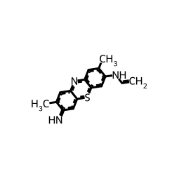 C=CNc1cc2sc3cc(=N)c(C)cc-3nc2cc1C